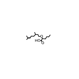 CCCCC(OCCC(C)CCC=C(C)C)C(=O)O